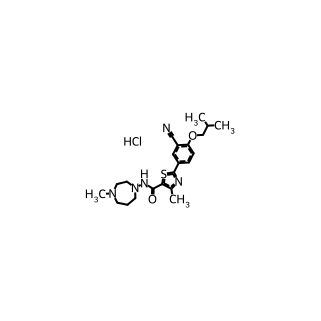 Cc1nc(-c2ccc(OCC(C)C)c(C#N)c2)sc1C(=O)NN1CCCN(C)CC1.Cl